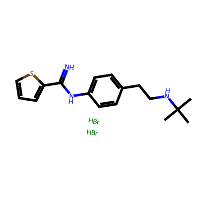 Br.Br.CC(C)(C)NCCc1ccc(NC(=N)c2cccs2)cc1